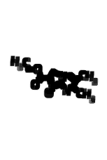 CCOC(=O)C1=S(=O)=C2N=C(C)C(C)=CN2C1